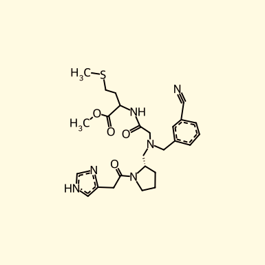 COC(=O)C(CCSC)NC(=O)CN(Cc1cccc(C#N)c1)C[C@@H]1CCCN1C(=O)Cc1c[nH]cn1